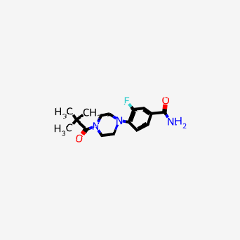 CC(C)(C)C(=O)N1CCN(c2ccc(C(N)=O)cc2F)CC1